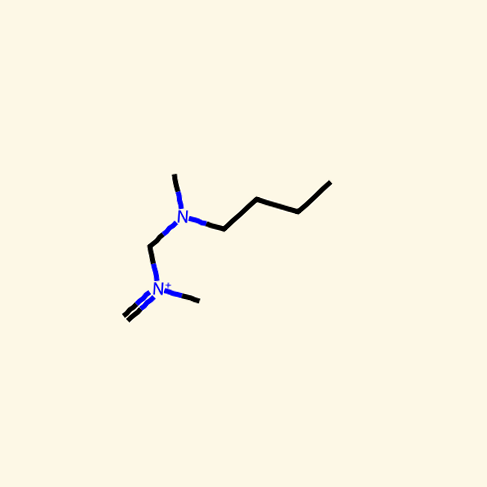 C=[N+](C)CN(C)CCCC